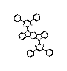 C1=C(c2ccccc2)NC(n2c3ccccc3c3cc4c(cc32)c2ccccc2n4-c2nc(-c3ccccc3)cc(-c3ccccc3)n2)N=C1c1ccccc1